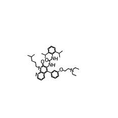 CCN(CC)CCOc1cccc(-c2c(NC(=O)Nc3c(C(C)C)cccc3C(C)C)c(=O)n(CCCC(C)C)c3ncccc23)c1